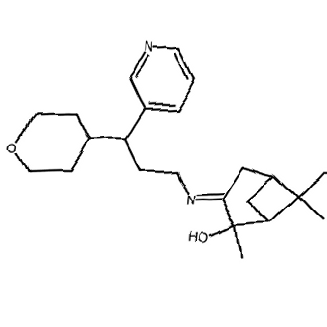 CC1(O)C(=NCCC(c2cccnc2)C2CCOCC2)CC2CC1C2(C)C